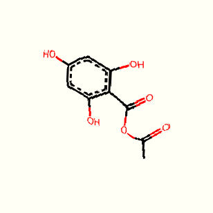 CC(=O)OC(=O)c1c(O)cc(O)cc1O